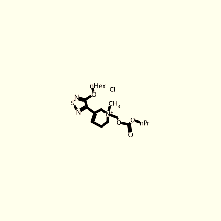 CCCCCCOc1nsnc1C1=CCC[N+](C)(COC(=O)OCCC)C1.[Cl-]